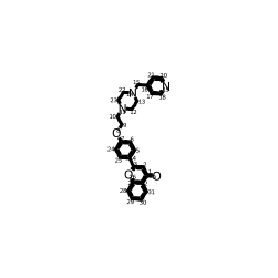 O=c1cc(-c2ccc(OCCN3CCN(Cc4ccncc4)CC3)cc2)oc2ccccc12